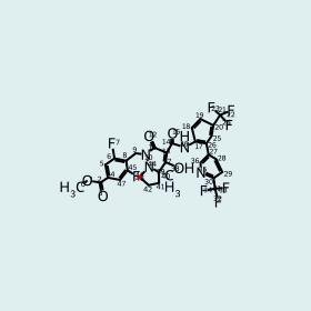 COC(=O)c1cc(F)c(CN2C(=O)C(C(=O)Nc3ccc(C(F)(F)F)cc3-c3ccc(C(F)(F)F)nc3)=C(O)[C@@]3(C)CCCN23)c(F)c1